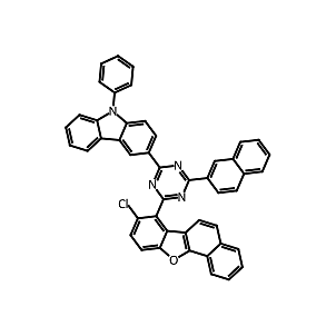 Clc1ccc2oc3c4ccccc4ccc3c2c1-c1nc(-c2ccc3ccccc3c2)nc(-c2ccc3c(c2)c2ccccc2n3-c2ccccc2)n1